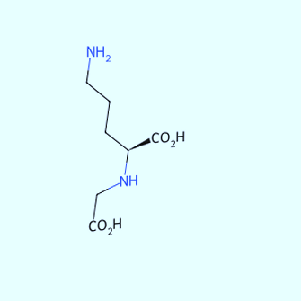 NCCC[C@H](NCC(=O)O)C(=O)O